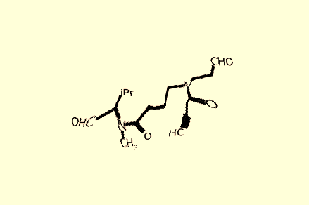 C#CC(=O)N(CCC=O)CCCC(=O)N(C)C(C=O)C(C)C